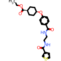 CCOC(=O)[C@H]1CC[C@@H](Oc2ccc(C(=O)NCCNC(=O)c3ccsc3)cc2)CC1